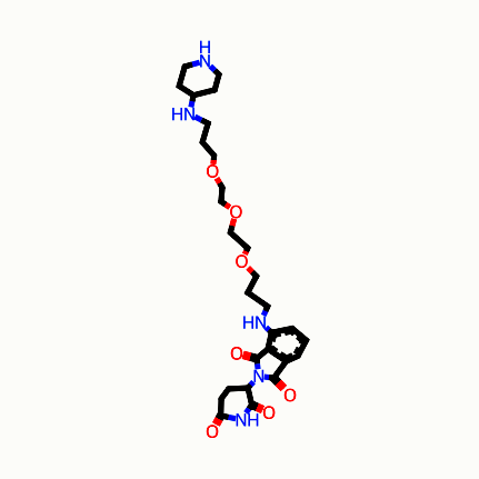 O=C1CCC(N2C(=O)c3cccc(NCCCOCCOCCOCCCNC4CCNCC4)c3C2=O)C(=O)N1